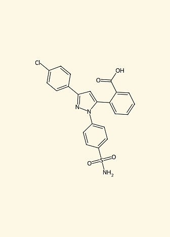 NS(=O)(=O)c1ccc(-n2nc(-c3ccc(Cl)cc3)cc2-c2ccccc2C(=O)O)cc1